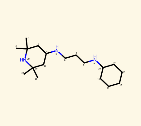 CC1(C)CC(NCCCNC2CCCCC2)CC(C)(C)N1